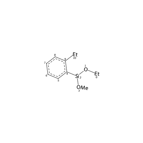 CCO[Si](OC)c1ccccc1CC